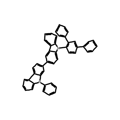 c1ccc(-c2ccc(-n3c4ccccc4c4cc(-c5ccc6c7ccccc7n(-c7ccccc7)c6c5)ccc43)c(-c3ccccc3)c2)cc1